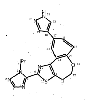 CC(C)n1ncnc1-c1nc2c(s1)CCOc1ccc(-c3cn[nH]c3)cc1-2